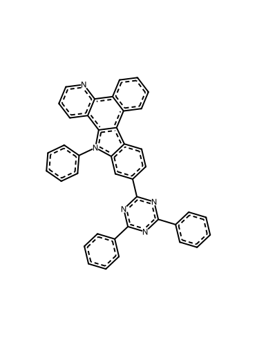 c1ccc(-c2nc(-c3ccccc3)nc(-c3ccc4c5c6ccccc6c6ncccc6c5n(-c5ccccc5)c4c3)n2)cc1